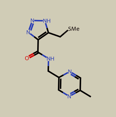 CSCc1[nH]nnc1C(=O)NCc1cnc(C)cn1